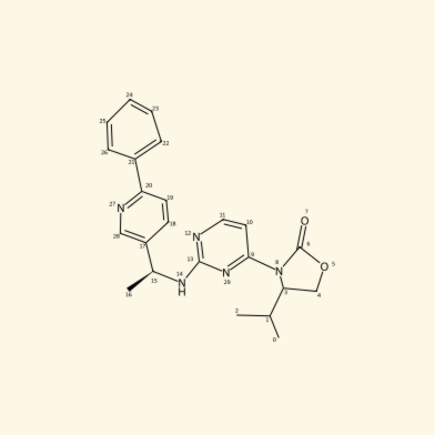 CC(C)C1COC(=O)N1c1ccnc(N[C@@H](C)c2ccc(-c3ccccc3)nc2)n1